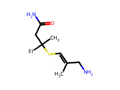 CCC(C)(CC(N)=O)S/C=C(\C)CN